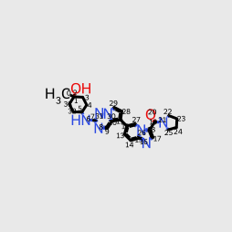 CC1(O)CCC(Nc2ncc3c(-c4ccc5ncc(C(=O)N6CCCC6)n5c4)ccn3n2)CC1